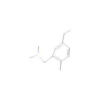 CCc1ccc(C)c(CN(C)C)c1